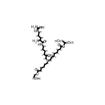 CCCCCCCCCCCOC(=O)CCCCCN(CCCCCCCC(=O)OC(CCCCCCCC)CCCCCCCC)CC(O)CCCCNC(=O)[C@@H](N)CCCNC(=N)N